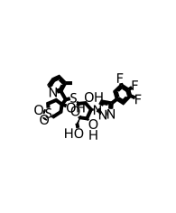 Cc1cccnc1C(S[C@@H]1O[C@H](CO)[C@H](O)[C@H](n2cc(-c3cc(F)c(F)c(F)c3)nn2)[C@H]1O)C1(O)CCS(=O)(=O)CC1